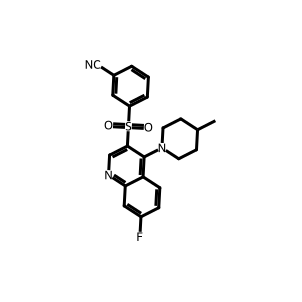 CC1CCN(c2c(S(=O)(=O)c3cccc(C#N)c3)cnc3cc(F)ccc23)CC1